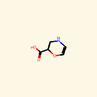 O=C(O)C1CNC=CO1